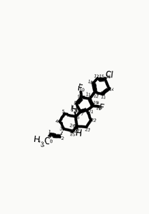 C/C=C/[C@@H]1CC[C@@H]2c3cc(F)c(-c4ccc(Cl)cc4)c(F)c3CC[C@@H]2C1